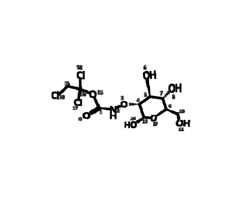 O=C(NO[C@@H]1[C@@H](O)[C@H](O)[C@@H](CO)O[C@H]1O)OC(Cl)(Cl)CCl